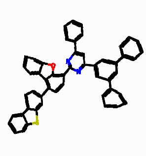 c1ccc(-c2cc(-c3ccccc3)cc(-c3cc(-c4ccccc4)nc(-c4ccc(-c5ccc6c(c5)sc5ccccc56)c5c4oc4ccccc45)n3)c2)cc1